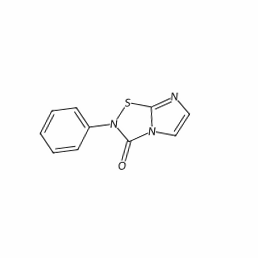 O=c1n(-c2ccccc2)sc2nccn12